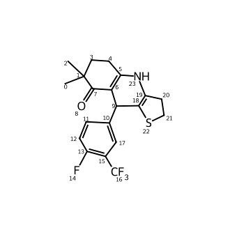 CC1(C)CCC2=C(C1=O)C(c1ccc(F)c(C(F)(F)F)c1)C1=C(CCS1)N2